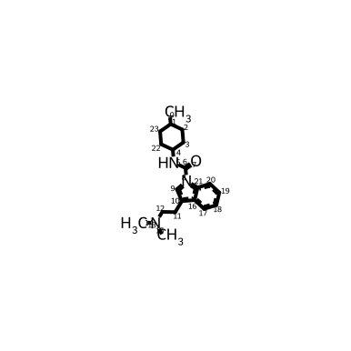 CC1CCC(NC(=O)n2cc(CCN(C)C)c3ccccc32)CC1